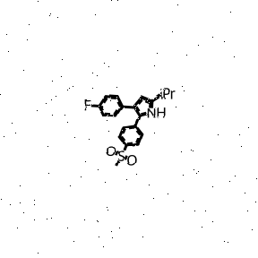 CC(C)c1cc(-c2ccc(F)cc2)c(-c2ccc(S(C)(=O)=O)cc2)[nH]1